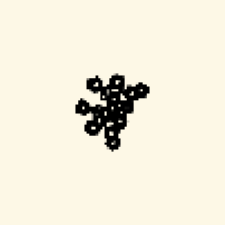 c1ccc(-c2nc3c(N(c4ccccc4)c4ccc5ccccc5c4)cc4c(c3o2)-c2c(cc(N(c3ccccc3)c3ccc5ccccc5c3)c3nc(-c5ccccc5)oc23)C42c3ccccc3-c3ccccc32)cc1